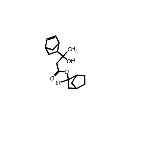 CCC1(OC(=O)CC(C)(O)C2CC3C=CC2C3)CC2CCC1C2